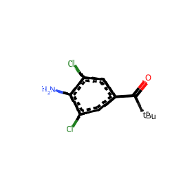 CC(C)(C)C(=O)c1cc(Cl)c(N)c(Cl)c1